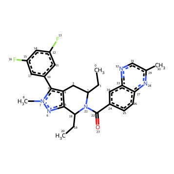 CCC1Cc2c(nn(C)c2-c2cc(F)cc(F)c2)C(CC)N1C(=O)c1ccc2nc(C)cnc2c1